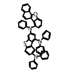 c1ccc(N(c2ccccc2)c2ccc3sc4cc(N(c5ccccc5)c5cccc6oc7c8ccccc8ccc7c56)cc(N(c5ccccc5)c5ccccc5)c4c3c2)cc1